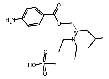 CCN(CC)[C@H](COC(=O)c1ccc(N)cc1)CC(C)C.CS(=O)(=O)O